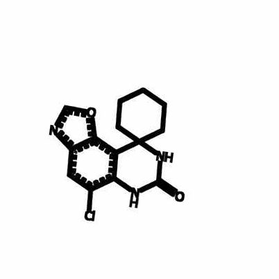 O=C1Nc2c(Cl)cc3ncoc3c2C2(CCCCC2)N1